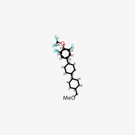 COCC1CCC(C2CCC(c3cc(F)c(OC(F)F)c(F)c3)CC2)CC1